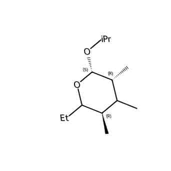 CCC1O[C@H](OC(C)C)[C@H](C)C(C)[C@H]1C